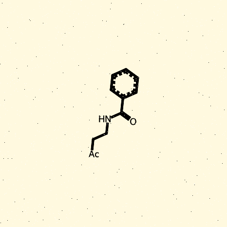 CC(=O)CCNC(=O)c1ccccc1